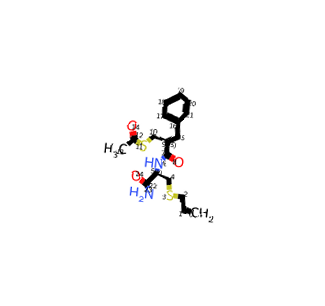 C=CCSC[C@H](NC(=O)[C@@H](CSC(C)=O)Cc1ccccc1)C(N)=O